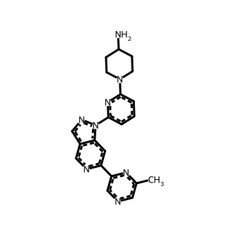 Cc1cncc(-c2cc3c(cn2)cnn3-c2cccc(N3CCC(N)CC3)n2)n1